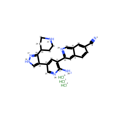 Cl.Cl.Cl.N#Cc1ccc2cc(-c3cc(-c4c[nH]nc4C4CCNCC4)cnc3N)ncc2c1